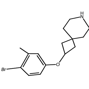 Cc1cc(OC2CC3(CCNCC3)C2)ccc1Br